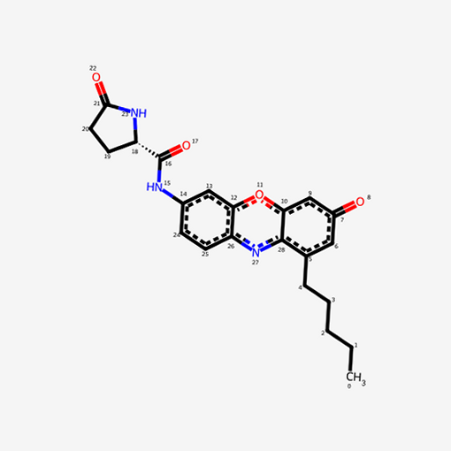 CCCCCc1cc(=O)cc2oc3cc(NC(=O)[C@@H]4CCC(=O)N4)ccc3nc1-2